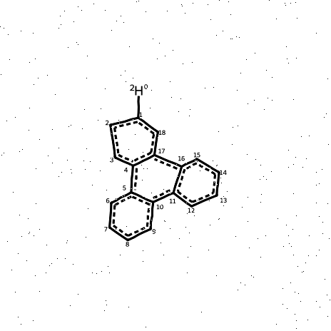 [2H]c1ccc2c3ccccc3c3ccccc3c2c1